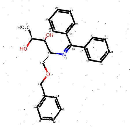 O=C(O)[C@H](O)[C@H](O)[C@@H](COCc1ccccc1)N=C(c1ccccc1)c1ccccc1